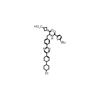 CCC1CCC(C2CC=C(c3cnc(-c4ccc(CC(NC(=O)c5ccc(C(C)(C)C)s5)C(=O)N5CC(C(=O)O)C5)cc4)nc3)CC2)CC1